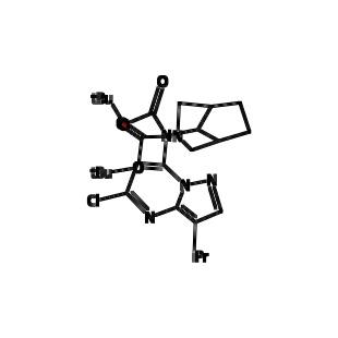 CC(C)c1cnn2c(N(C(=O)OC(C)(C)C)C3C4CCC3CN(C(=O)OC(C)(C)C)C4)cc(Cl)nc12